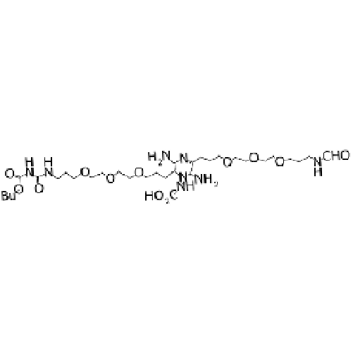 CC(C)(C)OC(=O)NC(=O)NCCCOCCOCCOCCCC1=C(N)N=C(CCCOCCOCCOCCCNC=O)C(N)N1NC(=O)O